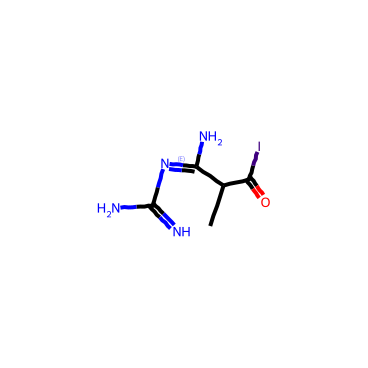 CC(C(=O)I)/C(N)=N\C(=N)N